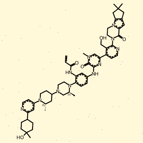 C=CC(=O)Nc1cc(Nc2nc(-c3ccnc(N4CCn5c(cc6c5CC(C)(C)C6)C4=O)c3CO)cn(C)c2=O)ccc1N1CCN(C2CCN(c3ccnc(C4CCC(C)(O)CC4)c3)[C@@H](C)C2)C[C@@H]1C